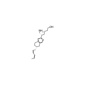 C/C=C\C=C/C[C@@H]1CCc2cc([C@H](CN)CCCCO)ccc2C1